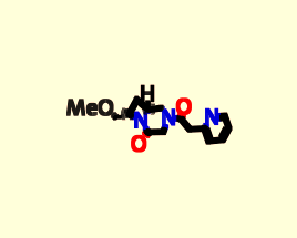 COC[C@@H]1C[C@@H]2CN(C(=O)Cc3ccccn3)CC(=O)N12